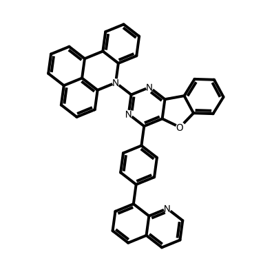 c1ccc2c(c1)-c1cccc3cccc(c13)N2c1nc(-c2ccc(-c3cccc4cccnc34)cc2)c2oc3ccccc3c2n1